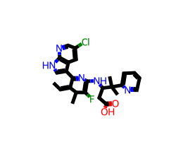 C/C=C1\C(c2c[nH]c3ncc(Cl)cc23)=NC(NC(CC(=O)O)C(C)(C)c2ccccn2)=C(F)C1C